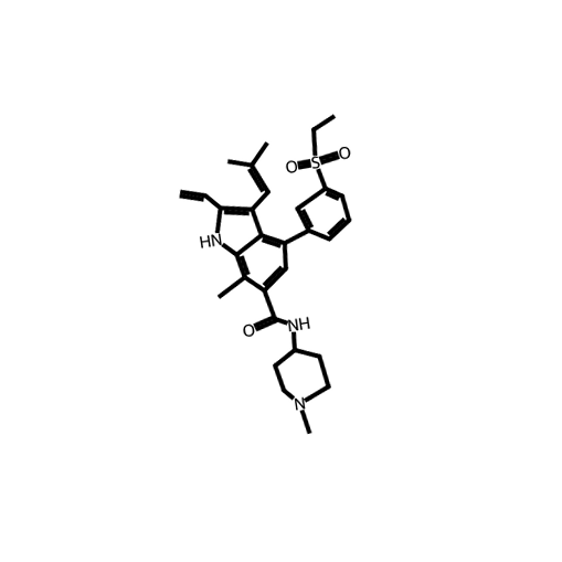 C=Cc1[nH]c2c(C)c(C(=O)NC3CCN(C)CC3)cc(-c3cccc(S(=O)(=O)CC)c3)c2c1C=C(C)C